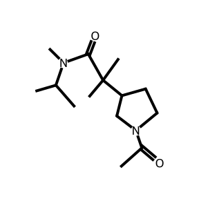 CC(=O)N1CCC(C(C)(C)C(=O)N(C)C(C)C)C1